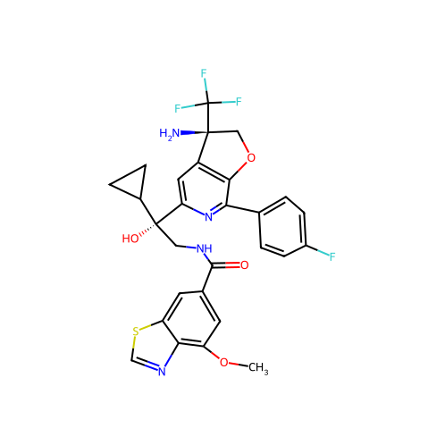 COc1cc(C(=O)NC[C@](O)(c2cc3c(c(-c4ccc(F)cc4)n2)OC[C@@]3(N)C(F)(F)F)C2CC2)cc2scnc12